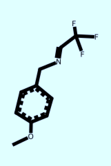 COc1ccc(C/N=[C]/C(F)(F)F)cc1